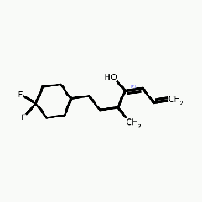 C=C/C=C(/O)C(C)CCC1CCC(F)(F)CC1